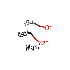 CC(C)(C)[O-].CC(C)(C)[O-].[Mo+6]